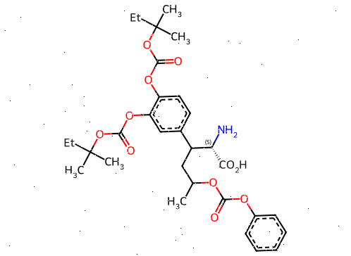 CCC(C)(C)OC(=O)Oc1ccc(C(CC(C)OC(=O)Oc2ccccc2)[C@H](N)C(=O)O)cc1OC(=O)OC(C)(C)CC